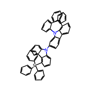 c1ccc(-c2ccccc2-n2c3cc(-n4c5ccccc5c5c([Si](c6ccccc6)(c6ccccc6)c6ccccc6)cccc54)ccc3c3cccc(-c4ccccc4)c32)cc1